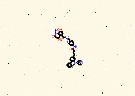 O=C(CCCc1ccc(-c2ccccc2)c(N(C(=O)O)C23CCN(CC2)CC3)c1)Nc1ccc(CNC[C@H](O)c2ccc(O)c3[nH]c(=O)ccc23)cc1